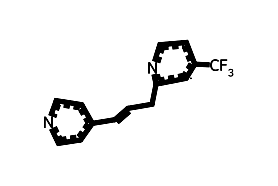 FC(F)(F)c1[c]c(CC=Cc2ccncc2)ncc1